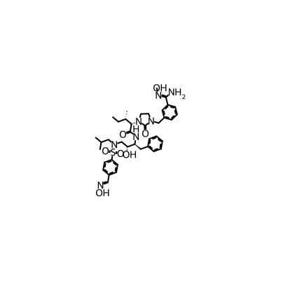 CC[C@H](C)[C@@H](C(=O)N[C@@H](Cc1ccccc1)[C@H](O)CN(CC(C)C)S(=O)(=O)c1ccc(C=NO)cc1)N1CCN(Cc2cccc(C(N)=NO)c2)C1=O